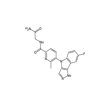 Cc1nc(C(=O)NCC(N)=O)ccc1-n1c2ccc(F)cc2c2[nH]ncc21